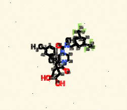 Cc1ccc([C@H]2[C@@H]3CC(CCO)(CCO)C(=O)N3CCN2C(=O)N(C)Cc2cc(C(F)(F)F)cc(C(F)(F)F)c2)c(C)c1